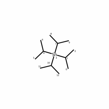 C[CH](C)[Sn]([CH](C)C)([CH](C)C)[CH](C)C